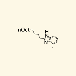 CCCCCCCCCCCCc1nc2c(C)cccc2[nH]1